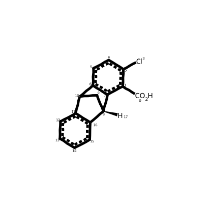 O=C(O)c1c(Cl)ccc2c1[C@H]1CC2c2ccccc21